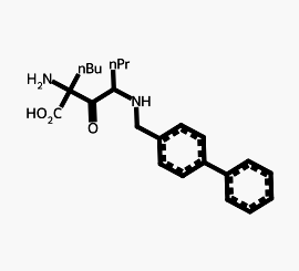 CCCCC(N)(C(=O)O)C(=O)C(CCC)NCc1ccc(-c2ccccc2)cc1